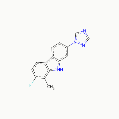 Cc1c(F)ccc2c1[nH]c1cc(-n3cncn3)ccc12